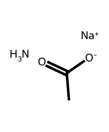 CC(=O)[O-].N.[Na+]